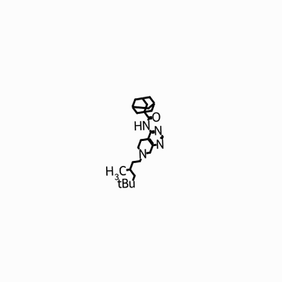 CC(CCN1CCc2c(ncnc2NC(=O)C23CC4CC(CC(C4)C2)C3)C1)CC(C)(C)C